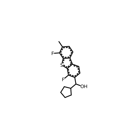 Cc1ccc2c(sc3c(F)c(C(O)C4CCCC4)ccc32)c1F